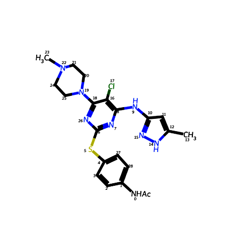 CC(=O)Nc1ccc(Sc2nc(Nc3cc(C)[nH]n3)c(Cl)c(N3CCN(C)CC3)n2)cc1